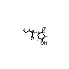 CCCC(=O)ON1CC(O)CC1=O